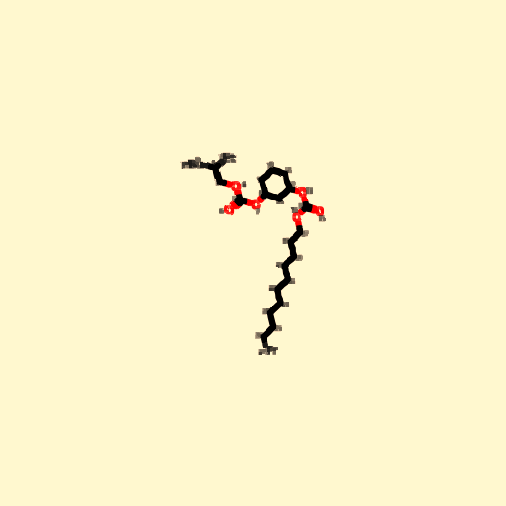 CCCCC(CC)COC(=O)OC1CCCC(OC(=O)OCCCCCCCCCCC(C)C)C1